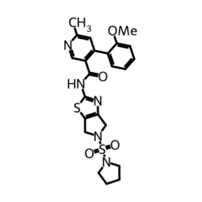 COc1ccccc1-c1cc(C)ncc1C(=O)Nc1nc2c(s1)CN(S(=O)(=O)N1CCCC1)C2